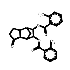 O=C(OC1C2CC(C1OC(=O)c1ccccc1C(F)(F)F)C1C(=O)CCC21)c1ccccc1C(F)(F)F